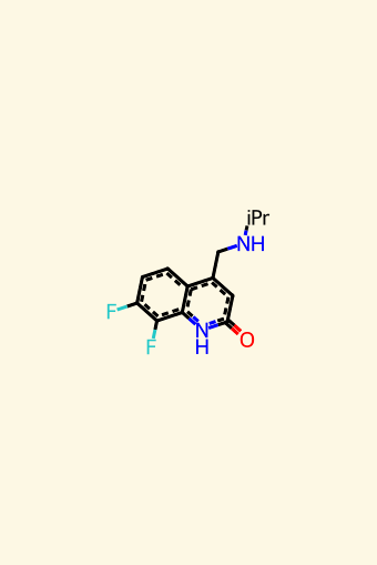 CC(C)NCc1cc(=O)[nH]c2c(F)c(F)ccc12